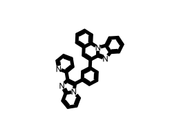 c1ccc(-c2nc3ccccn3c2-c2cccc(-c3cc4ccccc4n4c3nc3ccccc34)c2)nc1